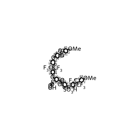 COc1ccc(C(c2ccc(Oc3ccc(S(=O)(=O)c4ccc(Oc5ccc(C(c6ccc(Oc7ccc(S(=O)(=O)c8ccc(OC)cc8)cc7)cc6)(C(F)(F)F)C(F)(F)F)cc5)c(SOOO)c4)cc3S(=O)(=O)O)cc2)(C(F)(F)F)C(F)(F)F)cc1